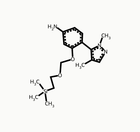 Cc1cnn(C)c1-c1ccc(N)cc1OCOCC[Si](C)(C)C